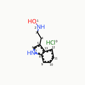 Cl.ONCCc1c[nH]c2ccccc12